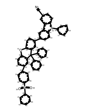 N#Cc1ccc2c(c1)c1cc(-c3ccc4c(c3)C(c3ccccc3)(c3ccccc3)c3cc(-c5ccc(S(=O)(=O)c6ccccc6)cc5)ccc3O4)ccc1n2-c1ccccc1